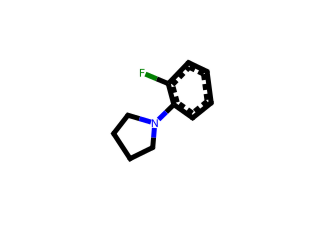 Fc1ccccc1N1C[CH]CC1